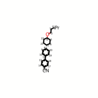 CC(C)CCO[C@H]1CC[C@H](c2ccc(-c3ccc(C#N)cc3)cc2)CC1